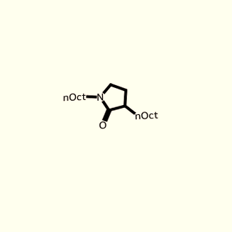 CCCCCCCCC1CCN(CCCCCCCC)C1=O